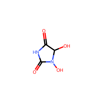 O=C1NC(=O)N(O)C1O